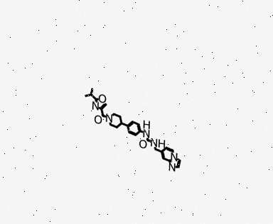 CC(C)c1nc(C(=O)N2CCC(c3ccc(NC(=O)NCc4ccn5ccnc5c4)cc3)CC2)co1